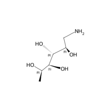 C[C@@H](O)[C@H](O)[C@H](O)[C@H](O)CN